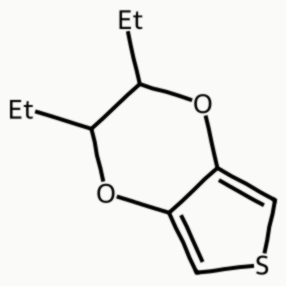 CCC1Oc2cscc2OC1CC